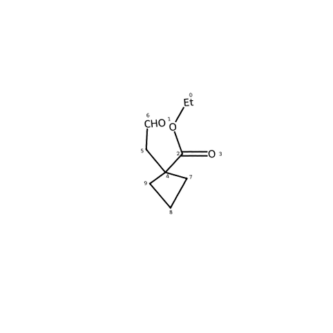 CCOC(=O)C1(CC=O)CCC1